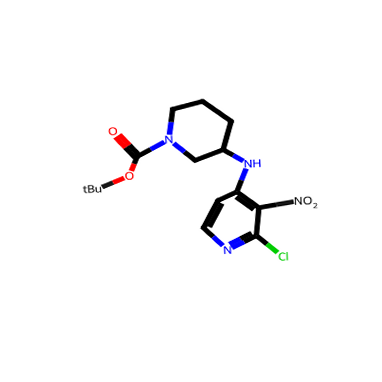 CC(C)(C)OC(=O)N1CCCC(Nc2ccnc(Cl)c2[N+](=O)[O-])C1